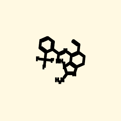 C=CC1=C(/N=C(\N)c2ccccc2C(F)(F)F)c2sc(N)nc2CC1